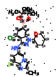 Cc1cn2cc(Nc3nn(C4CCCCO4)c4cc(B5OC(C)(C)C(C)(C)O5)cc(Cl)c34)cc(F)c2n1